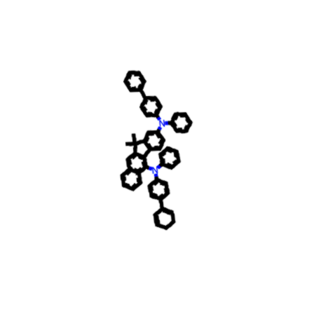 CC1(C)c2cc(N(c3ccccc3)c3ccc(-c4ccccc4)cc3)ccc2-c2c1cc1ccccc1c2N(c1ccccc1)c1ccc(C2=CCCC=C2)cc1